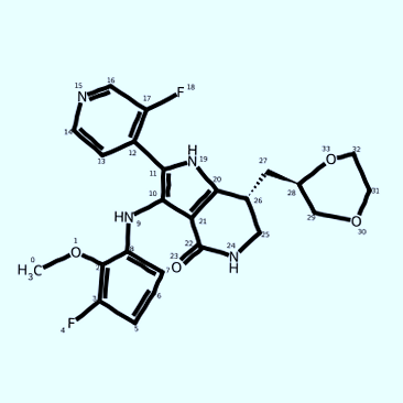 COc1c(F)cccc1Nc1c(-c2ccncc2F)[nH]c2c1C(=O)NC[C@H]2C[C@@H]1COCCO1